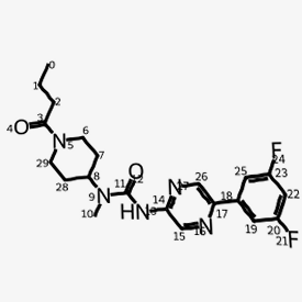 CCCC(=O)N1CCC(N(C)C(=O)Nc2cnc(-c3cc(F)cc(F)c3)cn2)CC1